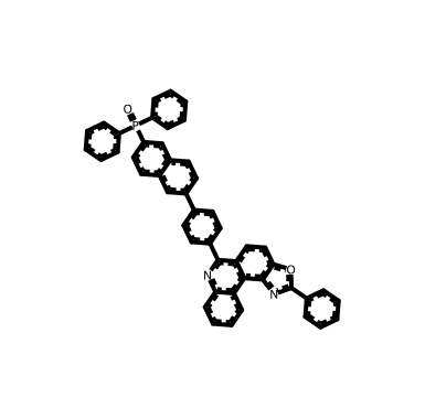 O=P(c1ccccc1)(c1ccccc1)c1ccc2cc(-c3ccc(-c4nc5ccccc5c5c4ccc4oc(-c6ccccc6)nc45)cc3)ccc2c1